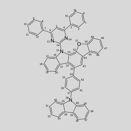 c1ccc(-c2cc(-c3ccccc3)nc(-n3c4ccccc4c4c(-c5ccc(-n6c7ccccc7c7ccccc76)cc5)cc5c6ccccc6oc5c43)n2)cc1